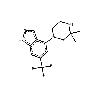 CC1(C)CN(c2cc(C(F)(F)F)cc3[nH]ncc23)CCN1